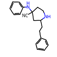 N#CC1(Nc2ccccc2)CCNC(CCc2ccccc2)C1